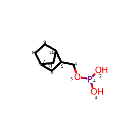 OP(O)OCC1CC2CCC1C2